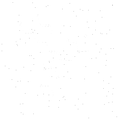 O=C1OCCN1Cc1cc(-c2ccc(F)c(C(F)F)c2)cnc1OC(F)F